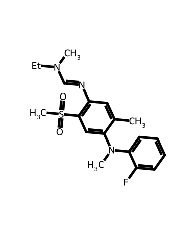 CCN(C)/C=N/c1cc(C)c(N(C)c2ccccc2F)cc1S(C)(=O)=O